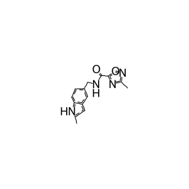 Cc1noc(C(=O)NCc2ccc3[nH]c(C)cc3c2)n1